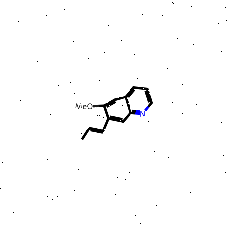 CC=Cc1cc2ncccc2cc1OC